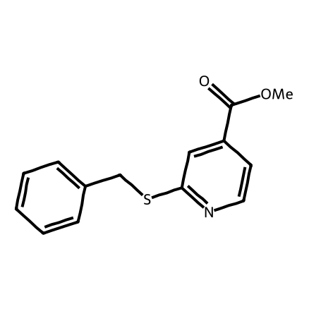 COC(=O)c1ccnc(SCc2ccccc2)c1